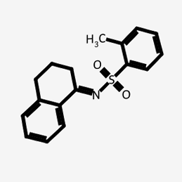 Cc1ccccc1S(=O)(=O)N=C1CCCc2ccccc21